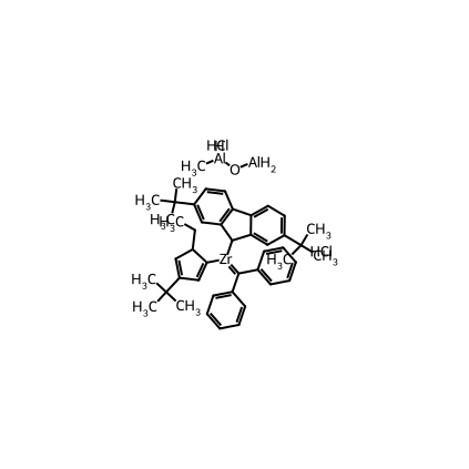 CCC1C=C(C(C)(C)C)C=[C]1[Zr](=[C](c1ccccc1)c1ccccc1)[CH]1c2cc(C(C)(C)C)ccc2-c2ccc(C(C)(C)C)cc21.Cl.Cl.[CH3][AlH][O][AlH2]